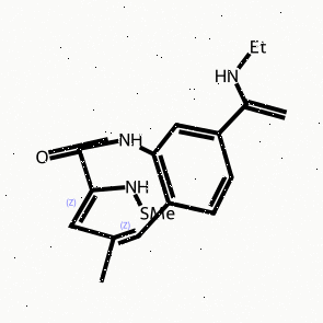 C=C(NCC)c1ccc2c(c1)NC(=O)/C(NSC)=C/C(C)=C\2